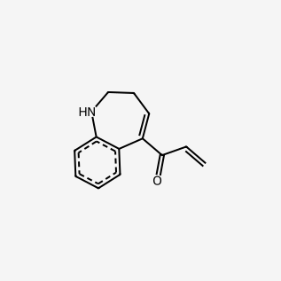 C=CC(=O)C1=CCCNc2ccccc21